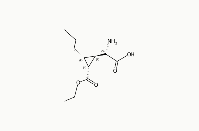 CCC[C@H]1[C@@H](C(=O)OCC)[C@@H]1[C@H](N)C(=O)O